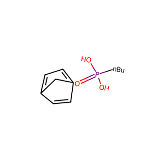 C1=CC2=CC=C1C2.CCCCP(=O)(O)O